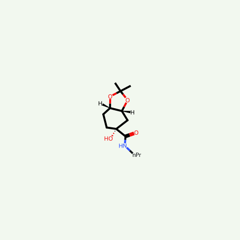 CCCNC(=O)[C@@]1(O)CC[C@@H]2OC(C)(C)O[C@@H]2C1